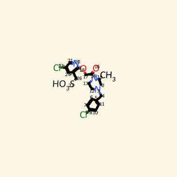 CC1CN(Cc2ccc(Cl)cc2)CCN1C(=O)COc1ncc(Cl)cc1CS(=O)(=O)O